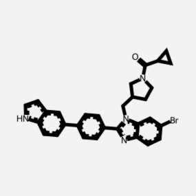 O=C(C1CC1)N1CCC(Cn2c(-c3ccc(-c4ccc5[nH]ccc5c4)cc3)nc3ccc(Br)cc32)C1